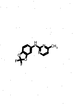 Cc1ccnc(Nc2ccc3c(c2)OC(F)(F)O3)n1